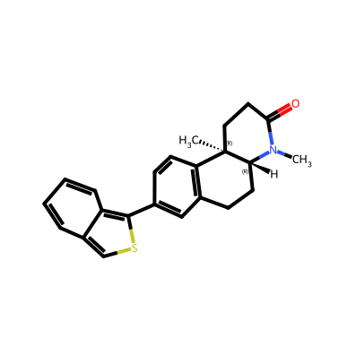 CN1C(=O)CC[C@]2(C)c3ccc(-c4scc5ccccc45)cc3CC[C@@H]12